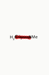 C=C(C)C(=O)OCCOCCOCCOCCOCCOCCOCCOCCOCCOCCOC(=O)CNC